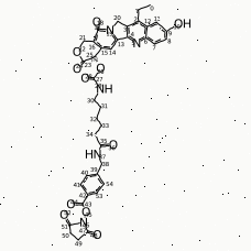 CCc1c2c(nc3ccc(O)cc13)-c1cc3c(c(=O)n1C2)COC(=O)[C@H]3OC(=O)NCCCCCC(=O)NCc1ccc(C(=O)ON2C(=O)CCC2=O)cc1